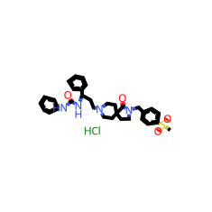 CS(=O)(=O)c1ccc(CN2CCC3(CCN(CCC(NC(=O)Nc4ccccc4)c4ccccc4)CC3)C2=O)cc1.Cl